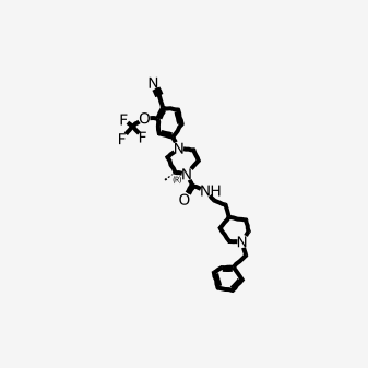 C[C@@H]1CN(c2ccc(C#N)c(OC(F)(F)F)c2)CCN1C(=O)NCCC1CCN(Cc2ccccc2)CC1